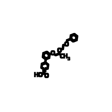 CC(COc1cccc(C2=CCN(C(=O)O)CC2)c1)OCCOCc1ccccc1